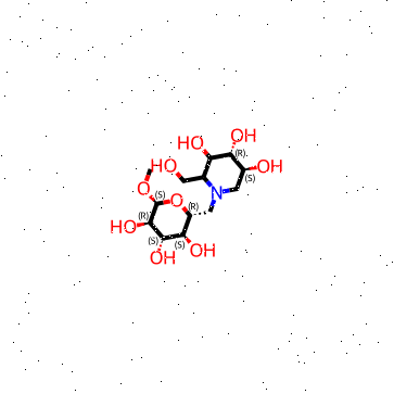 CO[C@H]1O[C@H](CN2C[C@H](O)[C@@H](O)C(O)C2CO)[C@@H](O)[C@H](O)[C@H]1O